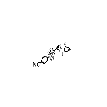 Cn1cc(C(=O)NS(=O)(=O)c2ccc(C#N)cc2)nc1-c1c(F)cccc1F